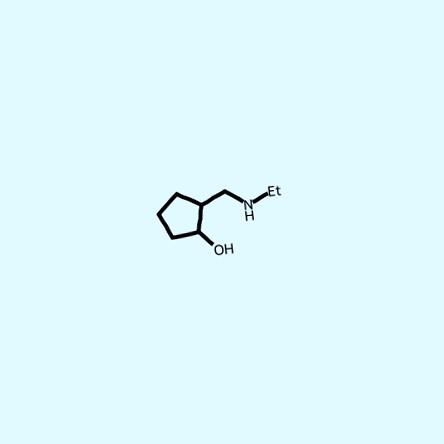 CCNCC1CCCC1O